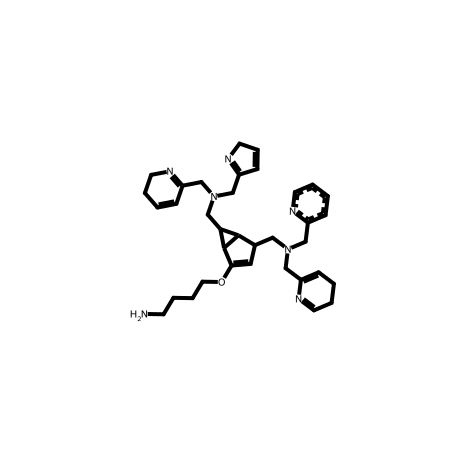 NCCCCOC1=CC(CN(CC2=CCCC=N2)Cc2ccccn2)C2C(CN(CC3=NCC=C3)CC3=NCCC=C3)C12